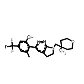 Cc1cc(C(F)(F)F)cc(O)c1-c1cc2c(nn1)N(CC1(N)CCOCC1)CC2